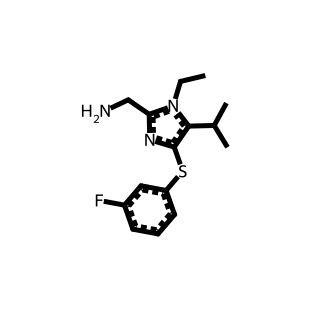 CCn1c(CN)nc(Sc2cccc(F)c2)c1C(C)C